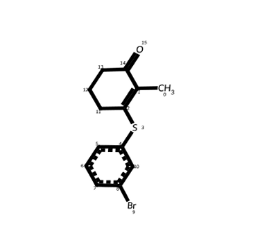 CC1=C(Sc2cccc(Br)c2)CCCC1=O